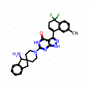 N#Cc1ccc2c(c1)C(c1n[nH]c3nc(N4CCC5(CC4)Cc4ccccc4C5N)[nH]c(=O)c13)=CCC2(F)F